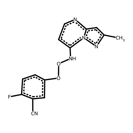 Cc1cc2nccc(NOOc3ccc(F)c(C#N)c3)n2n1